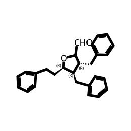 O=CC1O[C@H](CCc2ccccc2)[C@H](Cc2ccccc2)[C@H]1Cc1ccccc1